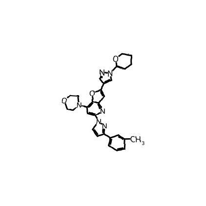 Cc1cccc(-c2ccn(-c3cc(N4CCOCC4)c4oc(-c5cnn(C6CCCCO6)c5)cc4n3)n2)c1